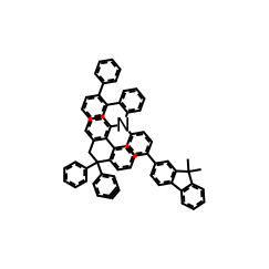 CC1(C)c2ccccc2-c2ccc(-c3ccc(N(c4ccccc4-c4ccccc4-c4ccccc4)c4cccc5c4-c4ccccc4C(c4cc#ccc4)(c4ccccc4)C5)cc3)cc21